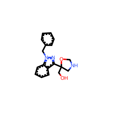 OCC1(c2nn(Cc3ccccc3)c3ccccc23)CNCO1